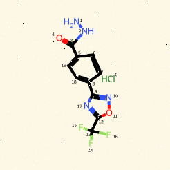 Cl.NNC(=O)c1ccc(-c2noc(C(F)(F)F)n2)cc1